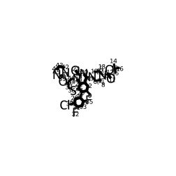 Cc1cc2c(N3C[C@@H](C)N(C(=O)OC(C)(C)C)[C@@H](C)C3)nc(=O)n3c2c(c1-c1cc(Cl)c(F)cc1F)SC[C@@H](Oc1ncccn1)C3